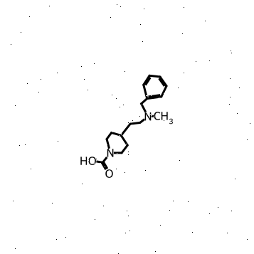 CN(CCC1CCN(C(=O)O)CC1)Cc1ccccc1